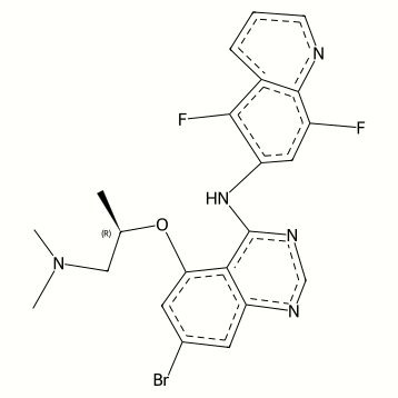 C[C@H](CN(C)C)Oc1cc(Br)cc2ncnc(Nc3cc(F)c4ncccc4c3F)c12